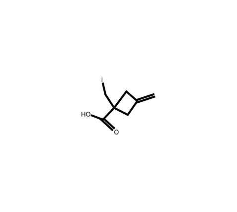 C=C1CC(CI)(C(=O)O)C1